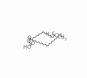 CCCCCCCC/C=C\CCCCCCCC1=C(CCCCCC/C=C\CCCCCCC(C)C)C(=O)OC[C@H](CO)O1